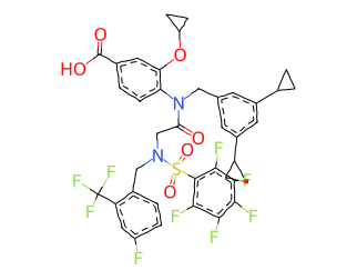 O=C(O)c1ccc(N(Cc2cc(C3CC3)cc(C3CC3)c2)C(=O)CN(Cc2ccc(F)cc2C(F)(F)F)S(=O)(=O)c2c(F)c(F)c(F)c(F)c2F)c(OC2CC2)c1